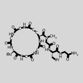 CC[C@H](C)[C@@H]1NC(=O)CNC(=O)CNC(=O)CC[C@@H](C(=O)N(C)CC(=O)N[C@@H](CC(C)C)C(=O)NCC(N)=O)NC(=O)CNC(=O)CNC1=O